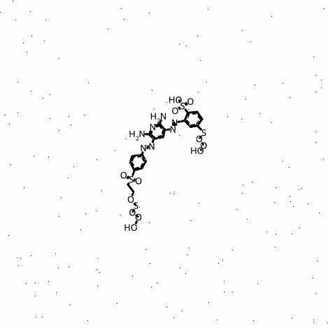 Nc1nc(N)c(/N=N/c2cc(SOOO)ccc2S(=O)(=O)O)cc1/N=N/c1ccc(S(=O)(=O)CCOSOOO)cc1